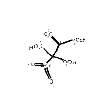 CCCCCCCCC(C(=O)O)C(CCCCCCCC)(C(=O)O)P(=O)=O